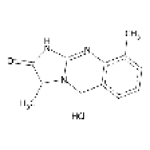 Cc1cccc2c1N=C1NC(=O)C(C)N1C2.Cl